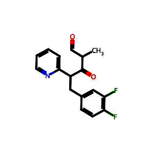 CC(C=O)C(=O)C(Cc1ccc(F)c(F)c1)c1ccccn1